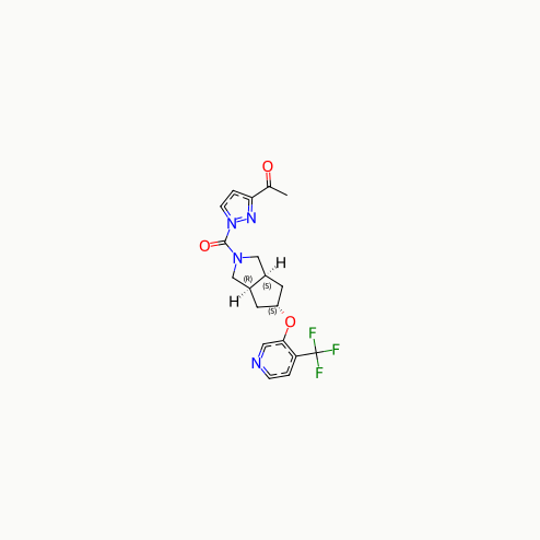 CC(=O)c1ccn(C(=O)N2C[C@H]3C[C@H](Oc4cnccc4C(F)(F)F)C[C@H]3C2)n1